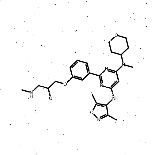 CNCC(O)COc1cccc(-c2nc(Nc3c(C)noc3C)cc(N(C)C3CCOCC3)n2)c1